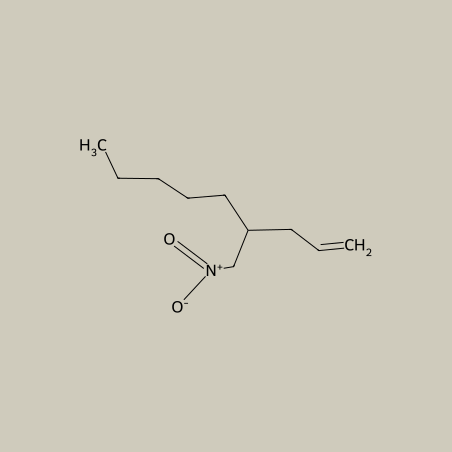 C=CCC(CCCCC)C[N+](=O)[O-]